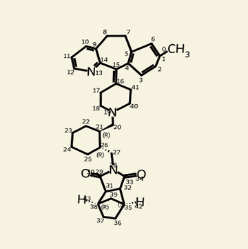 Cc1ccc2c(c1)CCc1cccnc1C2=C1CCN(C[C@@H]2CCCC[C@H]2CN2C(=O)C3C(C2=O)[C@H]2CC[C@@H]3C2)CC1